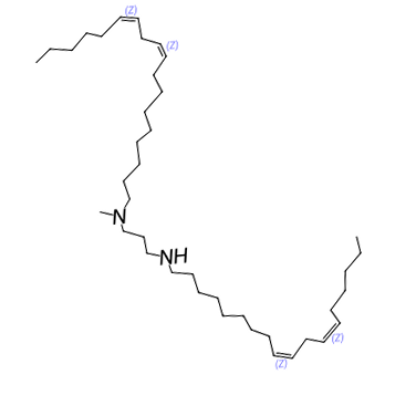 CCCCC/C=C\C/C=C\CCCCCCCCNCCCN(C)CCCCCCCC/C=C\C/C=C\CCCCC